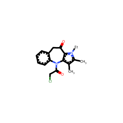 CCn1c(C)c(C)c2c1C(=O)Cc1ccccc1N2C(=O)CCl